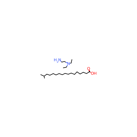 CC(C)CCCCCCCCCCCCCCC(=O)O.CCN(CC)CCN